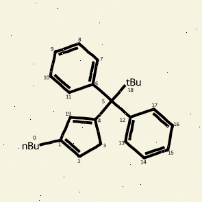 CCCCC1=CCC(C(c2ccccc2)(c2ccccc2)C(C)(C)C)=C1